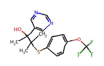 CC(C)(Sc1ccc(OC(F)(F)F)cc1)C(C)(O)c1cncnc1